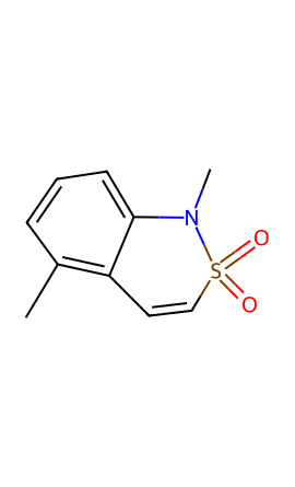 Cc1cccc2c1C=CS(=O)(=O)N2C